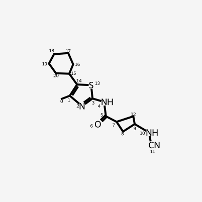 Cc1nc(NC(=O)C2CC(NC#N)C2)sc1C1CCCCC1